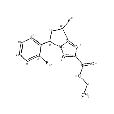 CCOC(=O)c1nc2n(n1)C(c1ncccc1F)CC2F